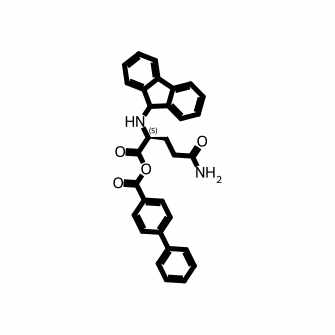 NC(=O)CC[C@H](NC1c2ccccc2-c2ccccc21)C(=O)OC(=O)c1ccc(-c2ccccc2)cc1